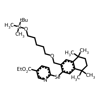 CCOC(=O)c1ccc([Se]c2cc3c(cc2COCCCCCO[Si](C)(C)C(C)(C)C)C(C)(C)CCC3(C)C)nc1